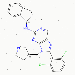 Clc1cccc(Cl)c1-c1nc2cnc(N[C@@H]3CCc4ccccc43)nc2n1C[C@H]1CCNC1